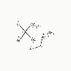 CC(=O)CC(C)=O.CCC(C(C)=O)(C(C)=O)C(=O)O.[AlH3]